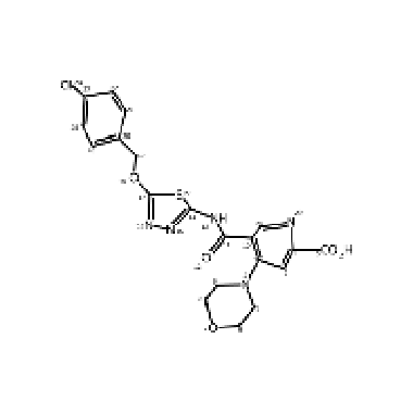 O=C(O)c1cc(N2CCOCC2)c(C(=O)Nc2nnc(OCc3ccc(Cl)cc3)s2)cn1